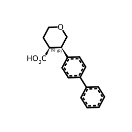 O=C(O)[C@H]1CCOC[C@H]1c1ccc(-c2ccccc2)cc1